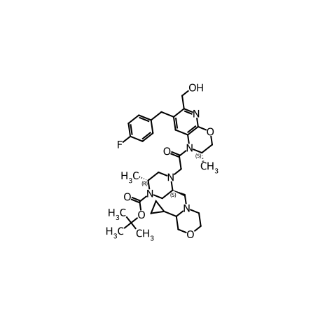 C[C@@H]1CN(CC(=O)N2c3cc(Cc4ccc(F)cc4)c(CO)nc3OC[C@@H]2C)[C@@H](CN2CCOCC2C2CC2)CN1C(=O)OC(C)(C)C